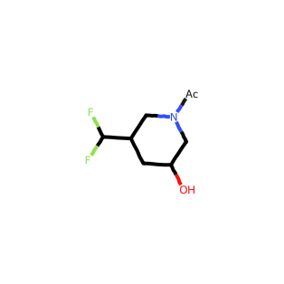 CC(=O)N1CC(O)CC(C(F)F)C1